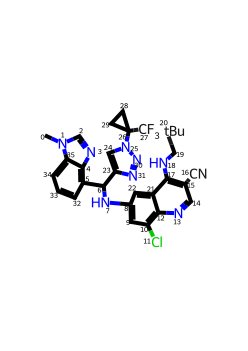 Cn1cnc2c(C(Nc3cc(Cl)c4ncc(C#N)c(NCC(C)(C)C)c4c3)c3cn(C4(C(F)(F)F)CC4)nn3)cccc21